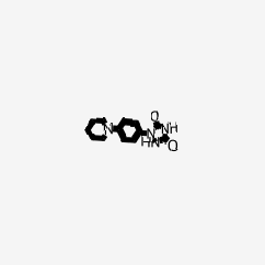 O=c1[nH]c(=O)n(-c2ccc(N3CCCCC3)cc2)[nH]1